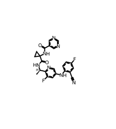 C[C@@H](NC(=O)C1(NC(=O)c2cncnc2)CC1)c1ncc(Nc2ccc(F)cc2C#N)cc1F